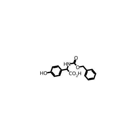 O=C(NC(C(=O)O)c1ccc(O)cc1)OCc1ccccc1